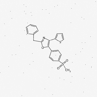 CS(=O)(=O)c1ccc(-c2oc(Cc3ccccc3)nc2-c2cccs2)cc1